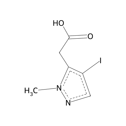 Cn1ncc(I)c1CC(=O)O